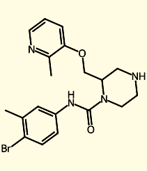 Cc1cc(NC(=O)N2CCNCC2COc2cccnc2C)ccc1Br